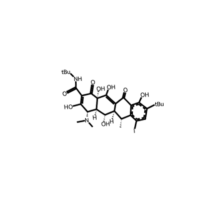 C[C@H]1c2c(I)cc(C(C)(C)C)c(O)c2C(=O)C2=C(O)[C@]3(O)C(=O)C(C(=O)NC(C)(C)C)=C(O)[C@@H](N(C)C)[C@@H]3[C@@H](O)[C@@H]21